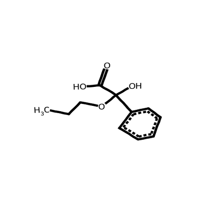 CCCOC(O)(C(=O)O)c1ccccc1